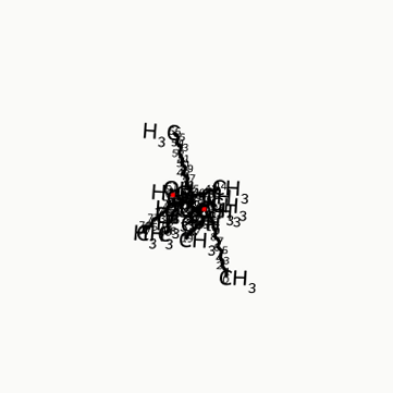 CCCCCCCCCCCCC(C)C(CCCCC)C(C)(C)C(CCC(C)O)(CC(C)O)C(C)(C)[C](C(C)(CCCCCC)CCCCCCCCCCCC)C(C)(CCO)C(C)(CCCCCC)CCCCCCCC